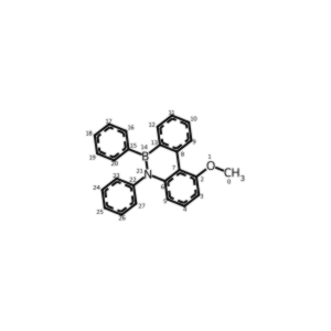 COc1cccc2c1-c1ccccc1B(c1ccccc1)N2c1ccccc1